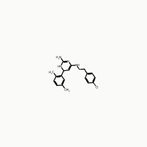 Cc1ccc(C)c(C2C=C(NCCc3ccc(Cl)cc3)N=C(N)N2)c1